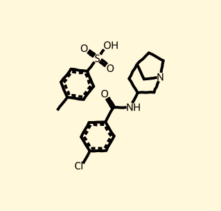 Cc1ccc(S(=O)(=O)O)cc1.O=C(NC1CC2CCN(C2)C1)c1ccc(Cl)cc1